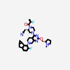 C=C(F)C(=O)N1CCN(c2nc(OC[C@@H]3CCCN3C)nc3c2CCN(c2c(F)ccc4c2C2CC2C4)C3)C[C@@H]1CC#N